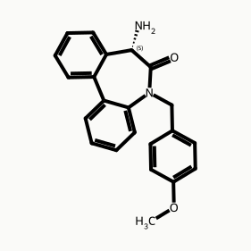 COc1ccc(CN2C(=O)[C@@H](N)c3ccccc3-c3ccccc32)cc1